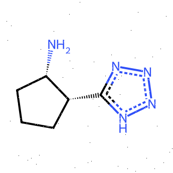 N[C@H]1CCC[C@H]1c1nnn[nH]1